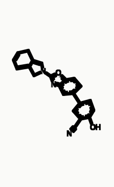 N#Cc1cc(-c2ccc3oc(N4C=C5CC=CC=C5C4)nc3c2)ccc1O